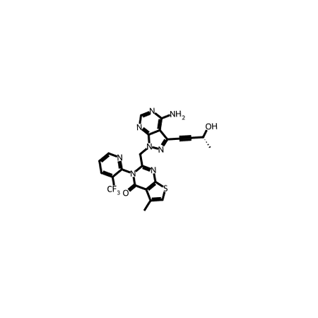 Cc1csc2nc(Cn3nc(C#C[C@@H](C)O)c4c(N)ncnc43)n(-c3ncccc3C(F)(F)F)c(=O)c12